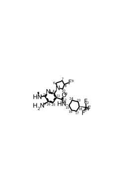 CNc1nc(N2CCC(F)C2)c(C(=O)N[C@H]2CC[C@H](C(F)(F)F)CC2)cc1N